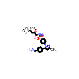 CCCCCOC(CC[N+](=O)[O-])C(=O)NS(=O)(=O)c1ccc(-n2nc(C(F)(F)F)cc2-c2ccc(CN)cc2)cc1